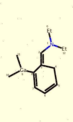 CCN(C=C1CC=CC=[C]1[Ga]([CH3])[CH3])CC